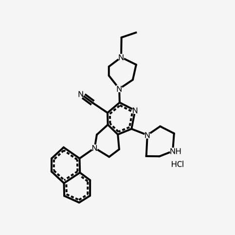 CCN1CCN(c2nc(N3CCNCC3)c3c(c2C#N)CN(c2cccc4ccccc24)CC3)CC1.Cl